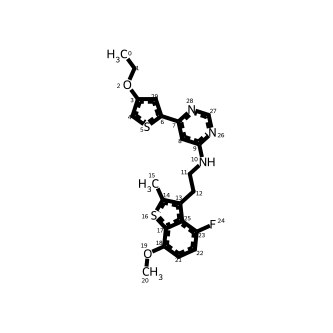 CCOc1csc(-c2cc(NCCc3c(C)sc4c(OC)ccc(F)c34)ncn2)c1